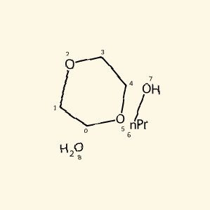 C1COCCO1.CCCO.O